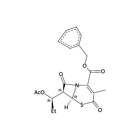 CC[C@@H](OC(C)=O)[C@H]1C(=O)N2C(C(=O)OCc3ccccc3)=C(C)C(=O)S[C@@H]12